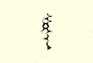 CN(C)C(=O)N(C)c1cc(C(=O)OCC(=O)OCC2CC2)c(Cl)cc1F